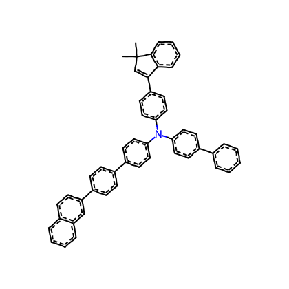 CC1(C)C=C(c2ccc(N(c3ccc(-c4ccccc4)cc3)c3ccc(-c4ccc(-c5ccc6ccccc6c5)cc4)cc3)cc2)c2ccccc21